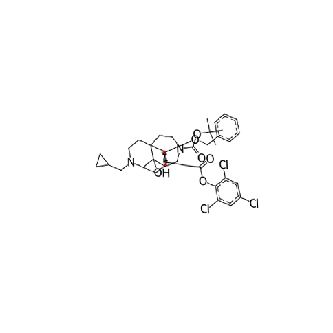 CC(C)(C)OC(=O)N1CCC23CCN(CC4CC4)C(Cc4cc(C(=O)Oc5c(Cl)cc(Cl)cc5Cl)c(OCc5ccccc5)cc42)C3(O)CC1